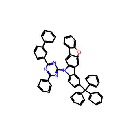 c1ccc(-c2cccc(-c3nc(-c4ccccc4)nc(-n4c5ccc(C(c6ccccc6)(c6ccccc6)c6ccccc6)cc5c5cc6oc7ccccc7c6cc54)n3)c2)cc1